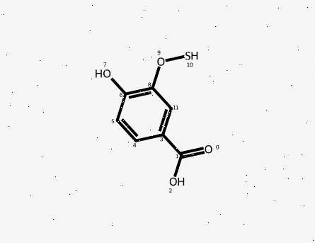 O=C(O)c1ccc(O)c(OS)c1